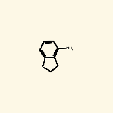 Nc1cccc2c1CCS2